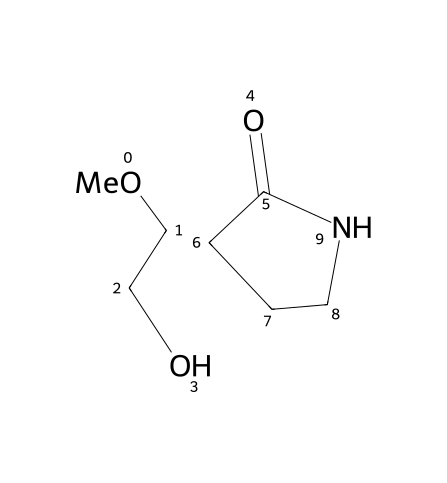 COCCO.O=C1CCCN1